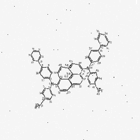 CC(C)c1ccc(N(c2ccc(-c3ccccc3)cc2)c2ccc3ccc4c(N(c5ccc(-c6ccccc6)cc5)c5ccc(C(C)C)cc5)ccc5ccc2c3c54)cc1